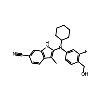 Cc1c(N(c2ccc(CO)c(F)c2)C2CCCCC2)[nH]c2cc(C#N)ccc12